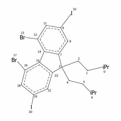 CC(C)CCC1(CCC(C)C)c2cc(I)cc(Br)c2-c2c(Br)cc(I)cc21